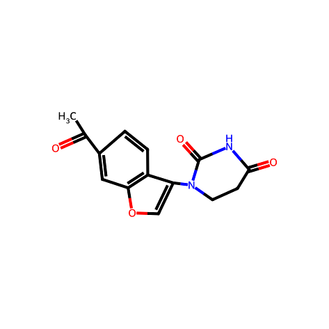 CC(=O)c1ccc2c(N3CCC(=O)NC3=O)coc2c1